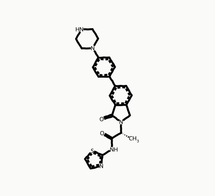 C[C@H](C(=O)Nc1nccs1)N1Cc2ccc(-c3ccc(N4CCNCC4)cc3)cc2C1=O